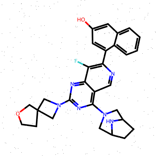 Oc1cc(-c2ncc3c(N4CC5CCC(C4)N5)nc(N4CC5(CCOC5)C4)nc3c2F)c2ccccc2c1